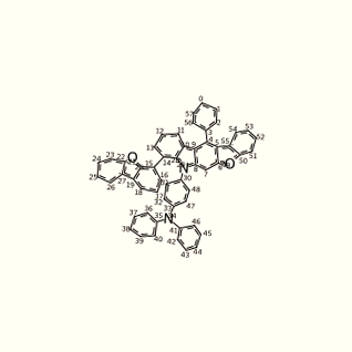 c1ccc(-c2c3c(cc4c2c2cccc(-c5cccc6c5oc5ccccc56)c2n4-c2ccc(N(c4ccccc4)c4ccccc4)cc2)oc2ccccc23)cc1